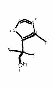 Cc1ncsc1C(C)(C)O